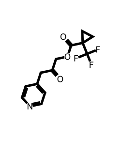 O=C(COC(=O)C1(C(F)(F)F)CC1)Cc1ccncc1